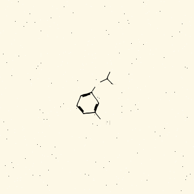 Cc1cccc(SC(F)F)c1